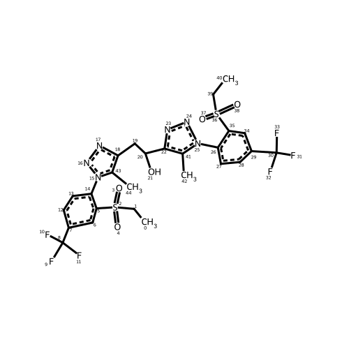 CCS(=O)(=O)c1cc(C(F)(F)F)ccc1-n1nnc(CC(O)c2nnn(-c3ccc(C(F)(F)F)cc3S(=O)(=O)CC)c2C)c1C